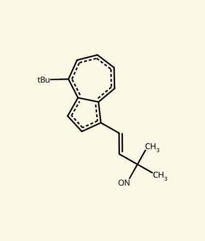 CC(C)(C=Cc1ccc2c(C(C)(C)C)ccccc1-2)N=O